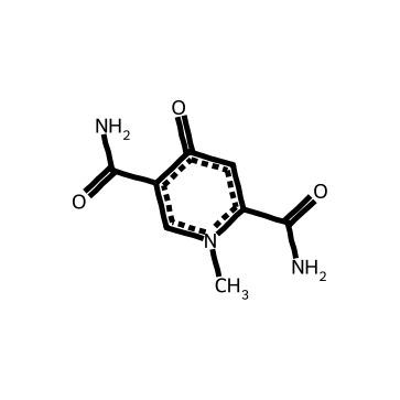 Cn1cc(C(N)=O)c(=O)cc1C(N)=O